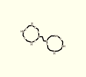 C1CNCCNCCCN(CCN2CCCNCCNCCCNCC2)CCNC1